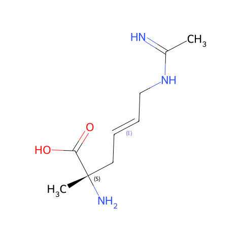 CC(=N)NC/C=C/C[C@](C)(N)C(=O)O